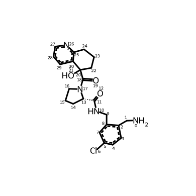 NCc1ccc(Cl)cc1CNC(=O)[C@@H]1CCCN1C(=O)C1(O)CCCc2ncccc21